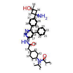 CCC(=O)N(C(C)C)C1CCC(CC(=O)Nc2cc(-c3ccccc3)c(-c3ccc([C@]4(N)C[C@](C)(O)C4)cc3)nn2)CC1